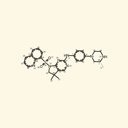 C[C@@H]1CN(c2ccc(Nc3ncc4c(n3)N(S(=O)(=O)c3cccc5cccnc35)CC4(C)C)cc2)CCN1